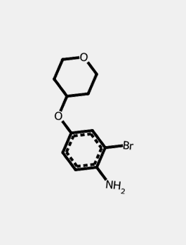 Nc1ccc(OC2CCOCC2)cc1Br